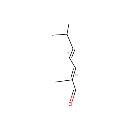 C/C(C=O)=C\C=C\C(C)C